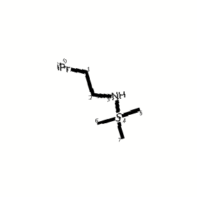 CC(C)CCNS(C)(C)C